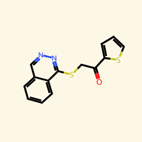 O=C(CSc1nncc2ccccc12)c1cccs1